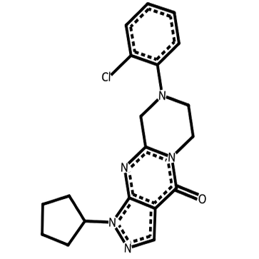 O=c1c2cnn(C3CCCC3)c2nc2n1CCN(c1ccccc1Cl)C2